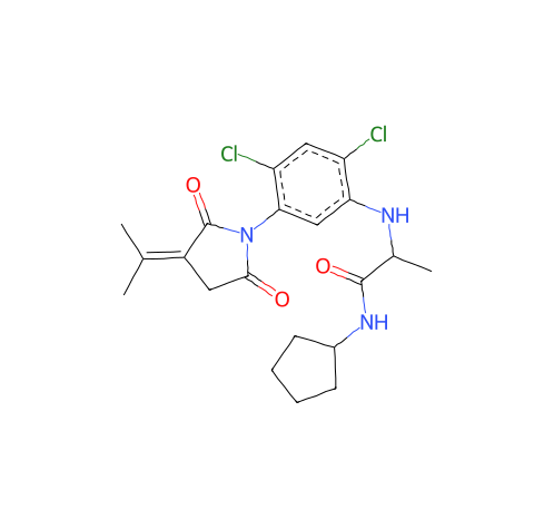 CC(C)=C1CC(=O)N(c2cc(NC(C)C(=O)NC3CCCC3)c(Cl)cc2Cl)C1=O